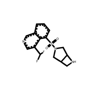 O=S(=O)(c1cccc2cncc(C(F)F)c12)N1CC2CNC2C1